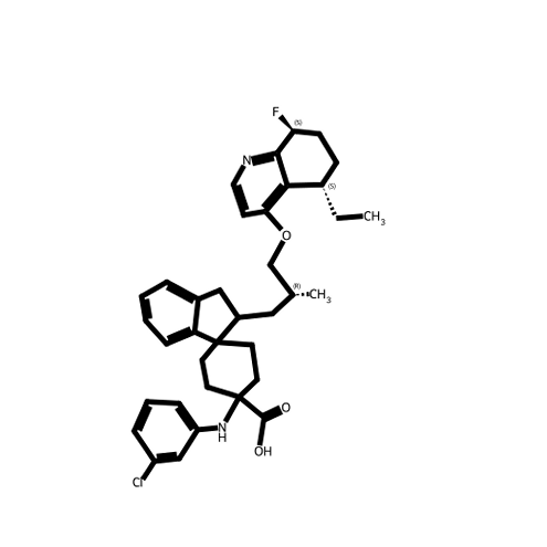 CC[C@H]1CC[C@H](F)c2nccc(OC[C@H](C)CC3Cc4ccccc4C34CCC(Nc3cccc(Cl)c3)(C(=O)O)CC4)c21